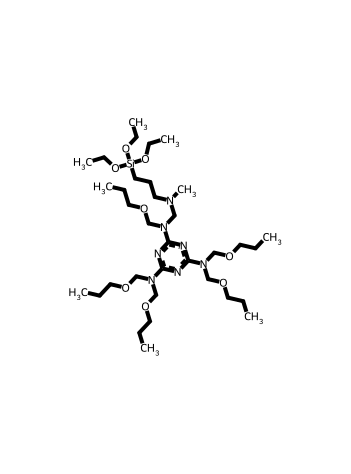 CCCOCN(COCCC)c1nc(N(COCCC)COCCC)nc(N(COCCC)CN(C)CCC[Si](OCC)(OCC)OCC)n1